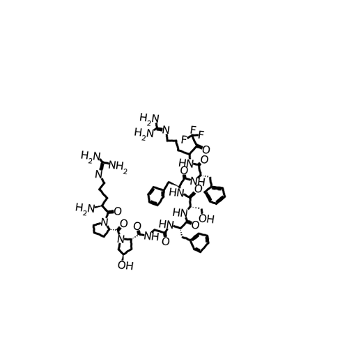 NC(N)=NCCCC(NC(=O)[C@H](Cc1ccccc1)NC(=O)[C@H](Cc1ccccc1)NC(=O)[C@H](CO)NC(=O)[C@H](Cc1ccccc1)NC(=O)CNC(=O)[C@@H]1C[C@@H](O)CN1C(=O)[C@@H]1CCCN1C(=O)[C@@H](N)CCCN=C(N)N)C(=O)C(F)(F)F